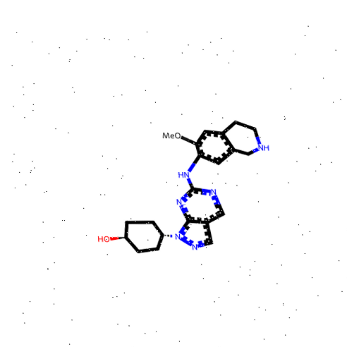 COc1cc2c(cc1Nc1ncc3cnn([C@H]4CC[C@H](O)CC4)c3n1)CNCC2